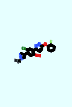 Cn1cc(-c2cc(O)c(-c3ccc(O[C@H]4CCCC[C@H]4F)nn3)cc2Cl)cn1